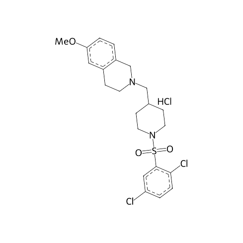 COc1ccc2c(c1)CCN(CC1CCN(S(=O)(=O)c3cc(Cl)ccc3Cl)CC1)C2.Cl